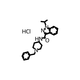 CC(C)n1nc(C(=O)NC2CCN(Cc3ccccc3)CC2)c2ccccc21.Cl